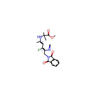 C=N/C(CN1C(=O)c2ccccc2C1=O)=C(F)\C=C(/C)NC(C)(C)C(=O)OC